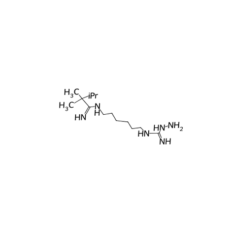 CC(C)C(C)(C)C(=N)NCCCCCCNC(=N)NN